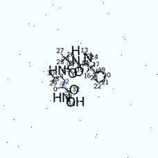 C/C(=C\C(NC(=O)[C@@H](NC(=O)[C@@H](N(C)C)C(C)(C)c1ccccc1)C(C)(C)C)C(C)C)C(=O)NO